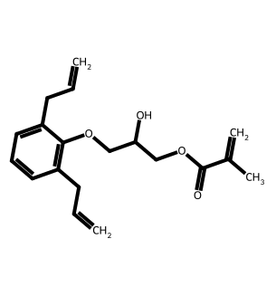 C=CCc1cccc(CC=C)c1OCC(O)COC(=O)C(=C)C